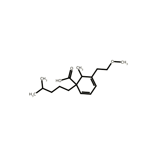 COCCC1=CC=CC(CCCC(C)C)(C(=O)O)C1C